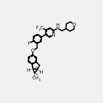 C[C@H]1[C@@H]2Cc3cc(OCc4cc(-c5cnc(NCC6CCOCC6)cc5C(F)(F)F)ccc4F)ccc3[C@H]12